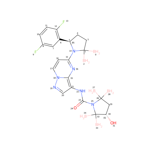 BC1(B)CC[C@H](c2cc(F)ccc2F)N1c1ccn2ncc(NC(=O)N3C(B)(B)C[C@H](O)C3(B)B)c2n1